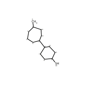 CC1CCCC(C2CCC(S)CC2)CC1